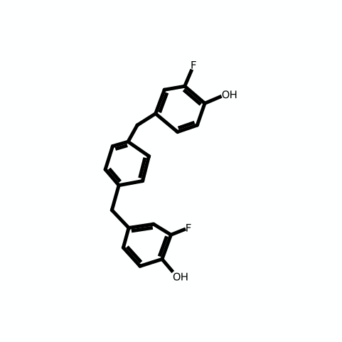 Oc1ccc(Cc2ccc(Cc3ccc(O)c(F)c3)cc2)cc1F